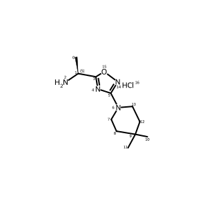 C[C@H](N)c1nc(N2CCC(C)(C)CC2)no1.Cl